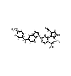 CC(=O)c1ccc(-n2cnc3cc(Nc4ccc(C)nc4)ccc32)nc1-c1c(C#N)n[nH]c1C